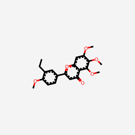 CCc1cc(-c2cc(=O)c3c(OC)c(OC)c(OC)cc3o2)ccc1OC